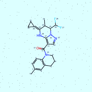 Cc1ccc2c(c1)CCCN2C(=O)c1cnn2c1NC(=C1CC1)C(C)C2C(F)F